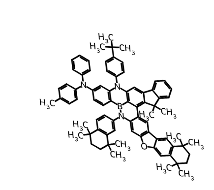 Cc1ccc(N(c2ccccc2)c2ccc3c(c2)N(c2ccc(C(C)(C)C)cc2)c2cc4c(c5c2B3N(c2ccc3c(c2)C(C)(C)CCC3(C)C)c2cc3oc6cc7c(cc6c3cc2-5)C(C)(C)CCC7(C)C)C(C)(C)c2ccccc2-4)cc1